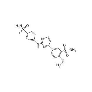 COc1ccc(-c2ccnc(Nc3ccc(S(N)(=O)=O)cc3)n2)cc1S(N)(=O)=O